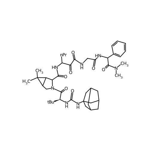 CCCC(NC(=O)C1C2C(CN1C(=O)[C@@H](NC(=O)NC13CC4CC(CC(C4)C1)C3)C(C)(C)C)C2(C)C)C(=O)C(=O)NCC(=O)NC(C(=O)N(C)C)c1ccccc1